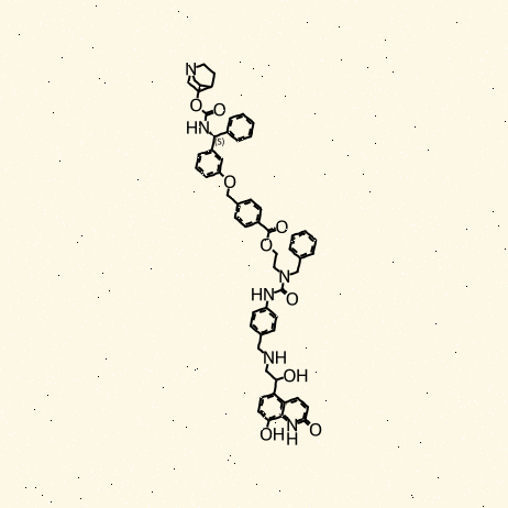 O=C(N[C@@H](c1ccccc1)c1cccc(OCc2ccc(C(=O)OCCN(Cc3ccccc3)C(=O)Nc3ccc(CNCC(O)c4ccc(O)c5[nH]c(=O)ccc45)cc3)cc2)c1)OC1CN2CCC1CC2